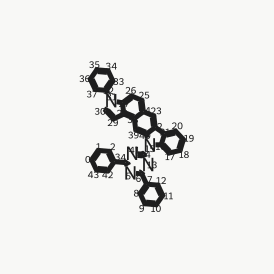 c1ccc(-c2nc(-c3ccccc3)nc(-n3c4ccccc4c4cc5ccc6c(ccn6-c6ccccc6)c5cc43)n2)cc1